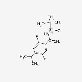 CC(C)c1cc(F)c([C@H](C)N[S@+]([O-])C(C)(C)C)cc1F